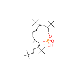 C=C1C/C=C/C(C(C)(C)C)=C\C(C(C)(C)C)=C\OP(=O)(O)O/C1=C(/C=C/C(C)(C)C)C(C)(C)C